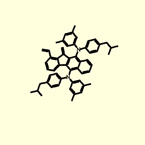 C=Cc1cccc2c1C(=C)c1c-2c(N(c2ccc(CC(C)C)cc2)c2cc(C)cc(C)c2)c2ccccc2c1N(c1ccc(CC(C)C)cc1)c1cc(C)cc(C)c1